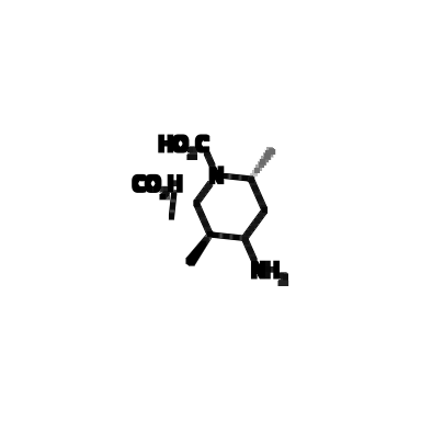 CC(=O)O.C[C@@H]1CC(N)[C@@H](C)CN1C(=O)O